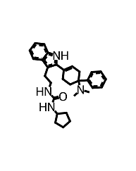 CN(C)C1(c2ccccc2)CC=C(c2[nH]c3ccccc3c2CCNC(=O)NC2CCCC2)CC1